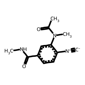 [C-]#[N+]c1ccc(C(=O)NC)cc1N(C)C(C)=O